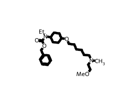 CCN(C(=O)OCc1ccccc1)C1CCC(OCCCCCCN(C)CCOC)CC1